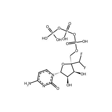 Nc1ccn([C@@H]2O[C@@](COP(=O)(O)OP(=O)(O)OP(=O)(O)O)(C(F)F)[C@@H](O)[C@H]2O)c(=O)n1